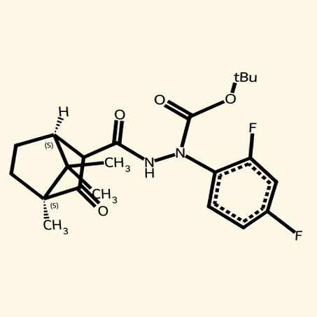 CC(C)(C)OC(=O)N(NC(=O)C1C(=O)[C@@]2(C)CC[C@@H]1C2(C)C)c1ccc(F)cc1F